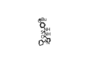 CCCCOc1ccc(NC(=S)NC(=O)c2ccnn2C2=CC=CCC2)cc1